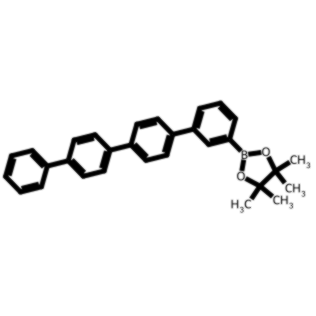 CC1(C)OB(c2cccc(-c3ccc(-c4ccc(-c5ccccc5)cc4)cc3)c2)OC1(C)C